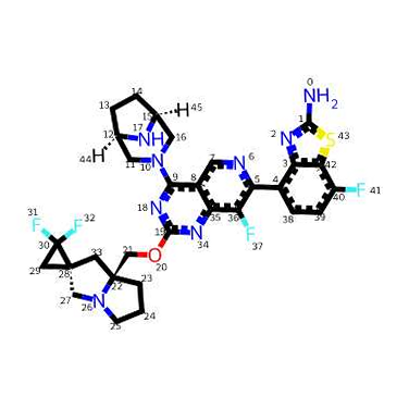 Nc1nc2c(-c3ncc4c(N5C[C@H]6CC[C@@H](C5)N6)nc(OC[C@@]56CCCN5C[C@@]5(CC5(F)F)C6)nc4c3F)ccc(F)c2s1